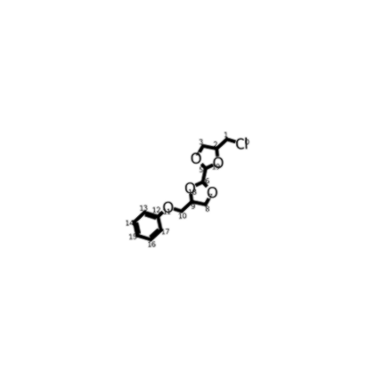 ClCC1COC(C2OCC(COc3ccccc3)O2)O1